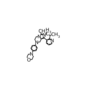 Cc1nc(-c2cccnc2C(C)C)c2n1CCN(c1ccc(N3CCOCC3)cc1)C2